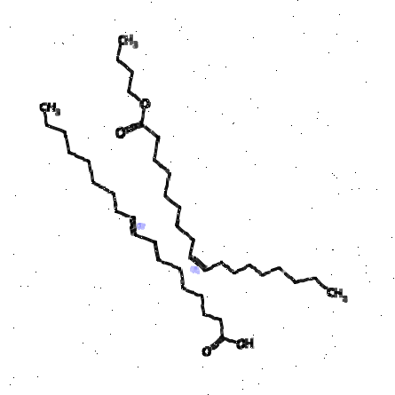 CCCCCCCC/C=C/CCCCCCCC(=O)O.CCCCCCCC/C=C\CCCCCCCC(=O)OCCCC